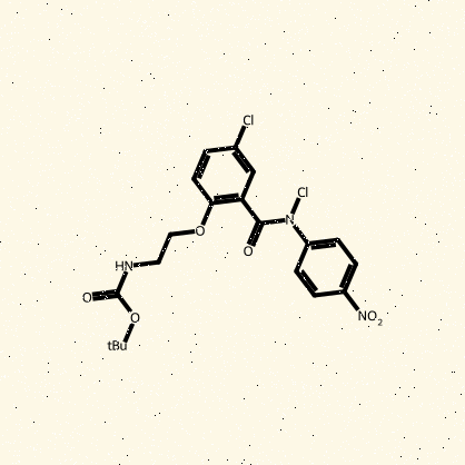 CC(C)(C)OC(=O)NCCOc1ccc(Cl)cc1C(=O)N(Cl)c1ccc([N+](=O)[O-])cc1